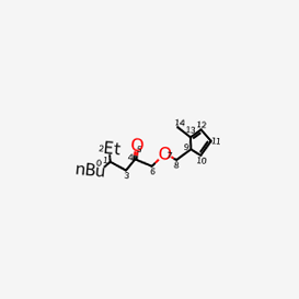 CCCCC(CC)CC(=O)COCC1C=CC=C1C